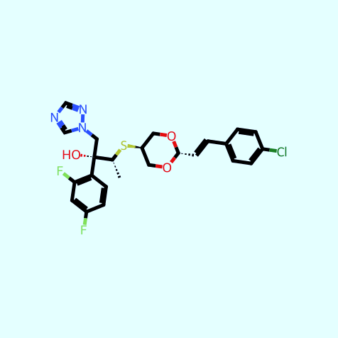 C[C@@H](S[C@H]1CO[C@H](/C=C/c2ccc(Cl)cc2)OC1)[C@](O)(Cn1cncn1)c1ccc(F)cc1F